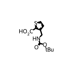 CC(C)(C)OC(=O)NCc1ccsc1C(=O)O